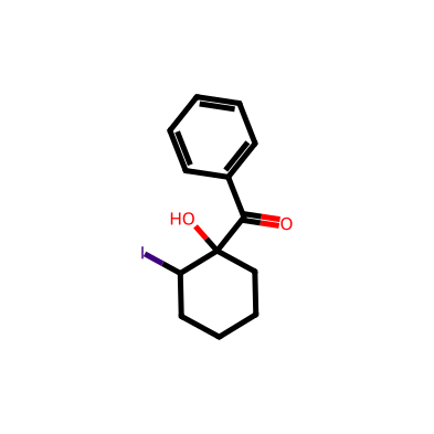 O=C(c1ccccc1)C1(O)CCCCC1I